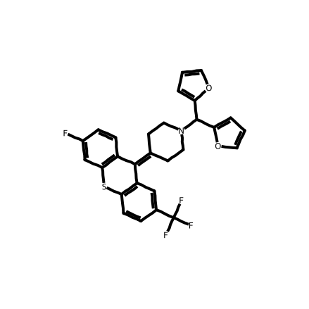 Fc1ccc2c(c1)Sc1ccc(C(F)(F)F)cc1C2=C1CCN(C(c2ccco2)c2ccco2)CC1